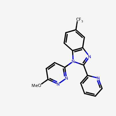 COc1ccc(-n2c(-c3ccccn3)nc3cc(C(F)(F)F)ccc32)nn1